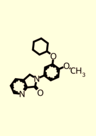 COc1ccc(N2Cc3cccnc3C2=O)cc1OC1CCCCC1